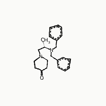 C[C@@H](CN1CCC(=O)CC1)N(Cc1ccccc1)Cc1ccccc1